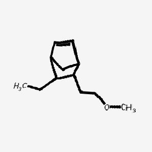 CCC1C2C=CC(C2)C1CCOC